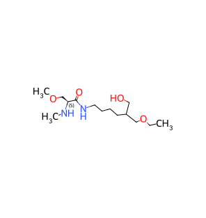 CCOCC(CO)CCCCNC(=O)[C@H](COC)NC